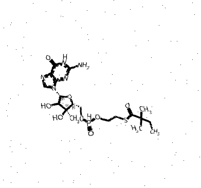 CCC(C)(C)C(=O)SCCO[PH](=O)OC[C@H]1O[C@@H](n2cnc3c(=O)[nH]c(N)nc32)C(O)[C@]1(C)O